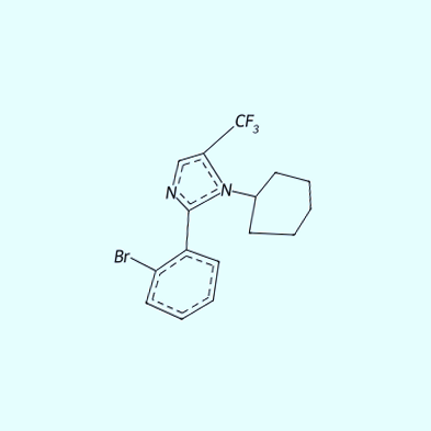 FC(F)(F)c1cnc(-c2ccccc2Br)n1C1CCCCC1